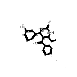 CCC1=C(C(=O)c2ccccc2)C(c2cccc(O)c2)NC(=O)N1